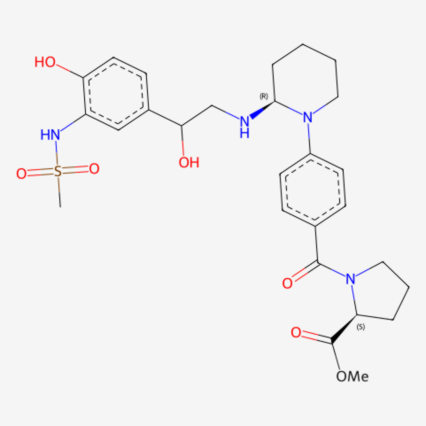 COC(=O)[C@@H]1CCCN1C(=O)c1ccc(N2CCCC[C@@H]2NCC(O)c2ccc(O)c(NS(C)(=O)=O)c2)cc1